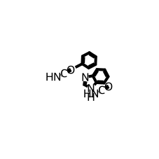 Cc1ccccc1.N=C=O.N=C=O.c1ccc2[nH]cnc2c1